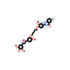 COc1cc(C2NC(=O)c3cc(Cl)ccc3N2)ccc1OCCCCCOc1cc(C2CC(c3cc(OC)c(OC)c(OC)c3)=NO2)ccc1OC